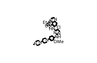 CCS(=O)(=O)N(C)c1c(Nc2nc(Nc3ccc(N4CCC(N5CCN(C)CC5)CC4)cc3OC)ncc2Cl)ccc2nccnc12